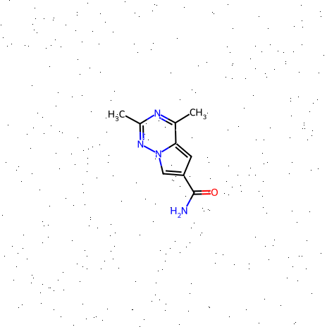 Cc1nc(C)c2cc(C(N)=O)cn2n1